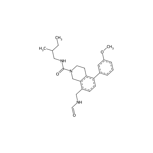 CCC(C)CNC(=O)N1CCc2c(-c3cccc(OC)c3)ccc(CNC=O)c2C1